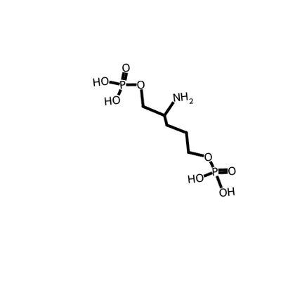 NC(CCCOP(=O)(O)O)COP(=O)(O)O